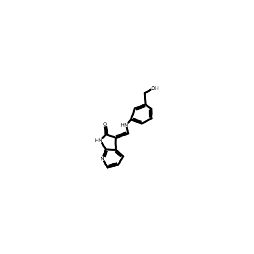 O=C1Nc2ncccc2/C1=C/Nc1cccc(CO)c1